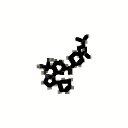 CNC1(CCN(C)C)C=CC(Nc2ncc(C(F)(F)F)c(N3OCCC3c3ccccc3)n2)=CC1